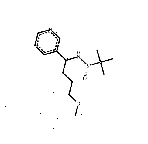 COCCCC(N[S@@+]([O-])C(C)(C)C)c1cccnc1